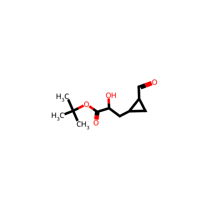 CC(C)(C)OC(=O)C(O)CC1CC1C=O